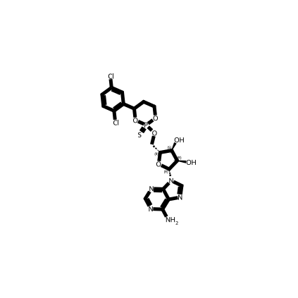 Nc1ncnc2c1ncn2[C@@H]1O[C@H](COP2(=S)OCCC(c3cc(Cl)ccc3Cl)O2)[C@@H](O)[C@H]1O